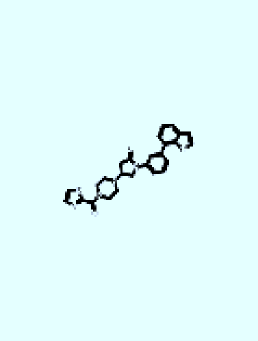 O=C(c1nccs1)N1CCN(C2CC(=O)N(c3cccc(-c4cccc5ccoc45)c3)C2)CC1